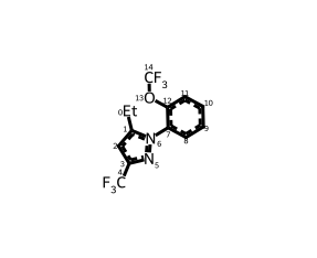 CCc1cc(C(F)(F)F)nn1-c1ccccc1OC(F)(F)F